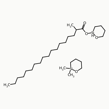 CCCCCCCCCCCCCCCCC(C)C(=O)O[SiH]1CCCCO1.C[Si]1(C)CCCCO1